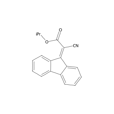 CC(C)OC(=O)C(C#N)=C1c2ccccc2-c2ccccc21